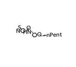 CCCCCC#CCOc1cccc(CNC(=O)c2ccc3ncsc3c2)c1